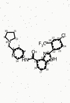 O=C(Nc1ccc(CN2CCCC2)nc1)c1cccc2[nH]c(-c3ccc(Cl)cc3C(F)(F)F)nc12